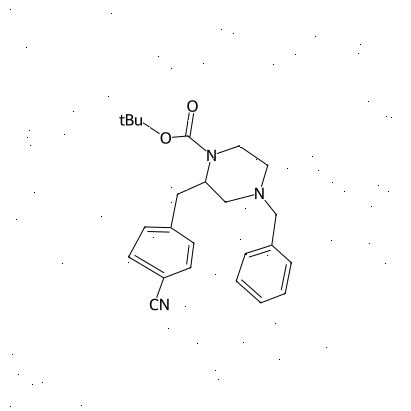 CC(C)(C)OC(=O)N1CCN(Cc2ccccc2)CC1Cc1ccc(C#N)cc1